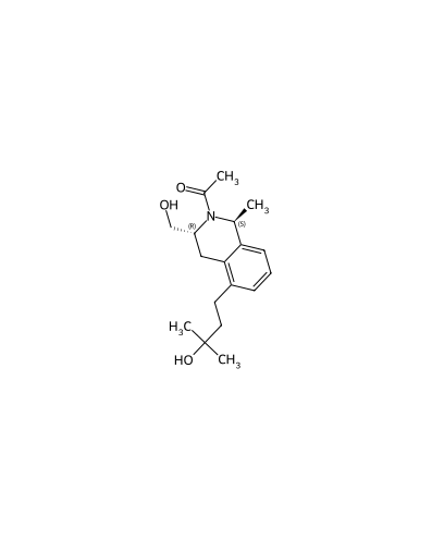 CC(=O)N1[C@@H](CO)Cc2c(CCC(C)(C)O)cccc2[C@@H]1C